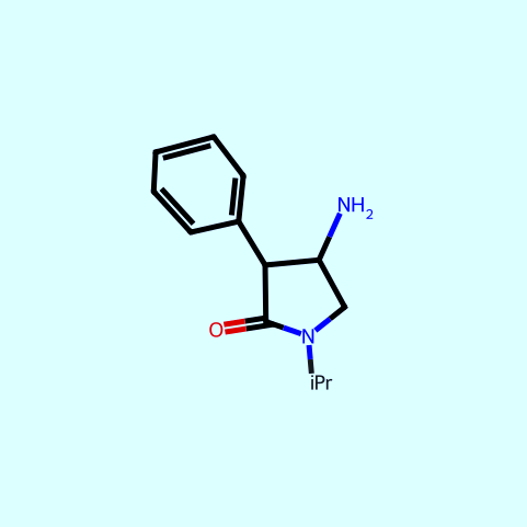 CC(C)N1CC(N)C(c2ccccc2)C1=O